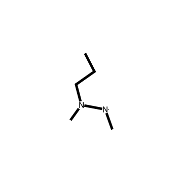 CCCN(C)[N]C